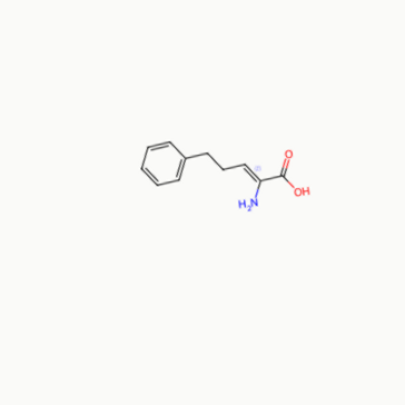 N/C(=C\CCc1ccccc1)C(=O)O